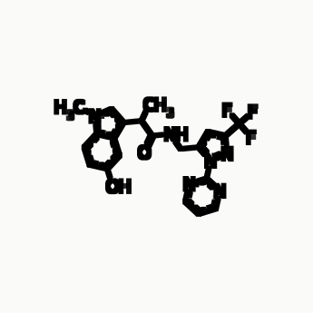 CC(C(=O)NCc1cc(C(F)(F)F)nn1-c1ncccn1)c1cn(C)c2ccc(O)cc12